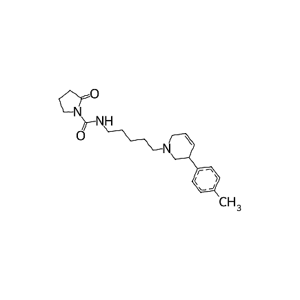 Cc1ccc(C2C=CCN(CCCCCNC(=O)N3CCCC3=O)C2)cc1